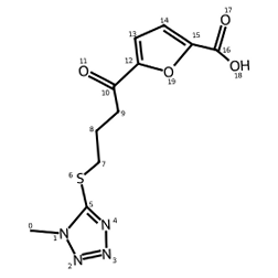 Cn1nnnc1SCCCC(=O)c1ccc(C(=O)O)o1